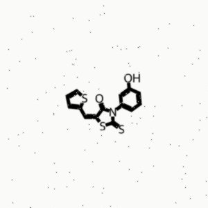 O=C1/C(=C\c2cccs2)SC(=S)N1c1cccc(O)c1